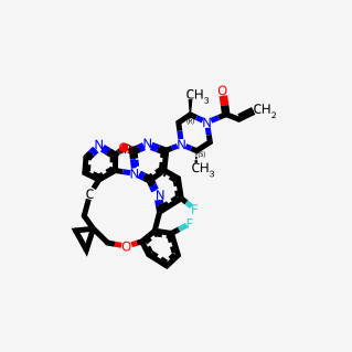 C=CC(=O)N1C[C@H](C)N(c2nc(=O)n3c4nc(c(F)cc24)-c2c(F)cccc2OCC2(CCc4ccnc(C(C)C)c4-3)CC2)C[C@H]1C